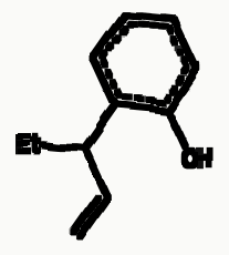 C=CC(CC)c1ccccc1O